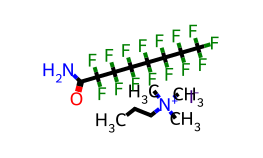 CCC[N+](C)(C)C.NC(=O)C(F)(F)C(F)(F)C(F)(F)C(F)(F)C(F)(F)C(F)(F)C(F)(F)F.[I-]